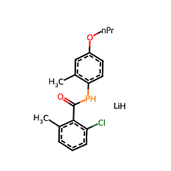 CCCOc1ccc(PC(=O)c2c(C)cccc2Cl)c(C)c1.[LiH]